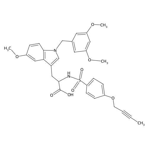 CC#CCOc1ccc(S(=O)(=O)NC(Cc2cn(Cc3cc(OC)cc(OC)c3)c3ccc(OC)cc23)C(=O)O)cc1